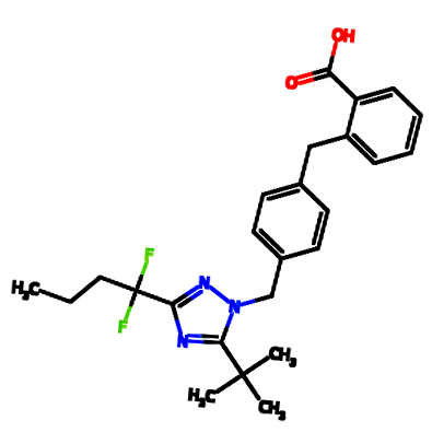 CCCC(F)(F)c1nc(C(C)(C)C)n(Cc2ccc(Cc3ccccc3C(=O)O)cc2)n1